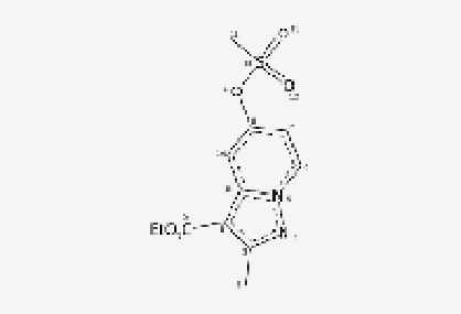 CCOC(=O)c1c(C)nn2ccc(OS(C)(=O)=O)cc12